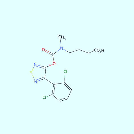 CN(CCCC(=O)O)C(=O)Oc1nsnc1-c1c(Cl)cccc1Cl